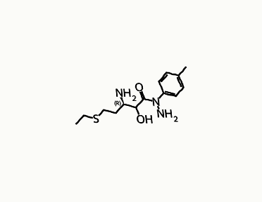 CCSCC[C@@H](N)C(O)C(=O)N(N)c1ccc(C)cc1